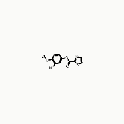 CCOc1ccc(OC(=O)c2nccs2)cc1C#N